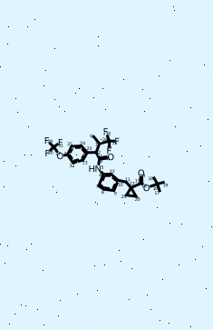 CC(C(C(=O)Nc1cccc(CC2(C(=O)OC(C)(C)C)CC2)c1)c1ccc(OC(F)(F)F)cc1)C(F)(F)F